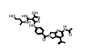 C=C(C)c1cc(NC(C)=O)nc2c1CN(C(=O)c1ccc(Nc3snc(O)c3C(=N)NC(C)CCO)cc1)C2